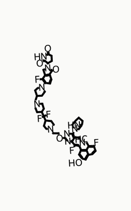 C#Cc1c(F)ccc2cc(O)cc(-c3ncc4c(N5CC6CCC(C5)N6)nc(OCCN5CCC(C(F)(F)C6CCN(CC7CCN(c8ccc9c(c8F)CN(C8CCC(=O)NC8=O)C9=O)CC7)CC6)CC5)nc4c3F)c12